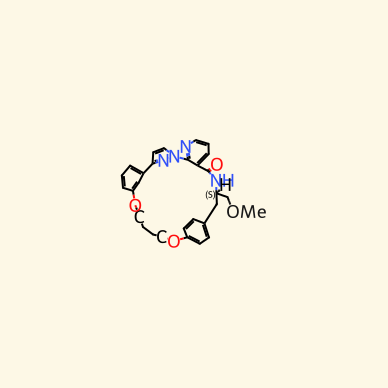 COC[C@@H]1Cc2ccc(cc2)OCCCCOc2cccc(c2)-c2ccn(n2)-c2ncccc2C(=O)N1